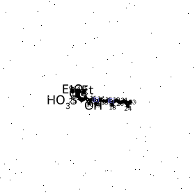 CCOP(=O)(OCC)C(CCC(O)/C=C(\C)CC/C=C(\C)CCC=C(C)C)S(=O)(=O)O